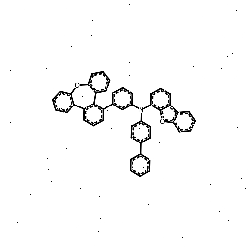 c1ccc(-c2ccc(N(c3cccc(-c4cccc5c4-c4ccccc4Oc4ccccc4-5)c3)c3cccc4c3oc3ccccc34)cc2)cc1